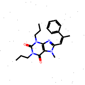 CCCn1c(=O)c2c(nc(C=C(C)c3ccccc3)n2C)n(CCC)c1=O